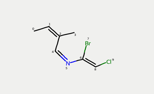 C\C=C(C)/C=N\C(Br)=C\Cl